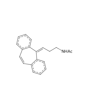 CC(=O)NCCC=C1c2ccccc2C=Cc2ccccc21